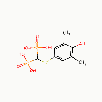 Cc1cc(SC(P(=O)(O)O)P(=O)(O)O)cc(C)c1O